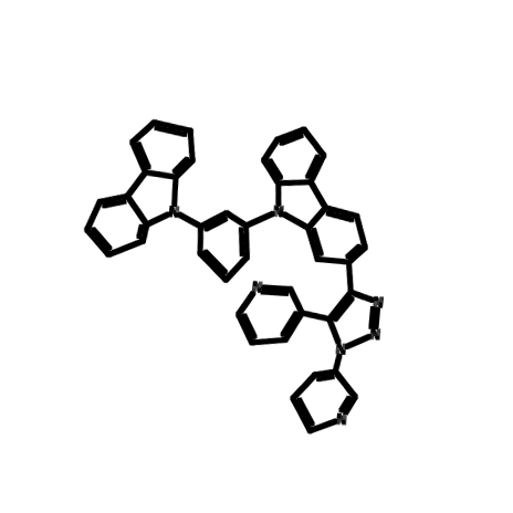 c1cncc(-c2c(-c3ccc4c5ccccc5n(-c5cccc(-n6c7ccccc7c7ccccc76)c5)c4c3)nnn2-c2cccnc2)c1